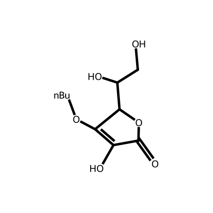 CCCCOC1=C(O)C(=O)OC1C(O)CO